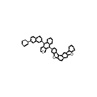 C1=CCC(c2ccc3ccc(-c4c5ccccc5c(-c5ccc6c(c5)oc5ccc7cc8oc9ccccc9c8cc7c56)c5ccccc45)cc3c2)C=C1